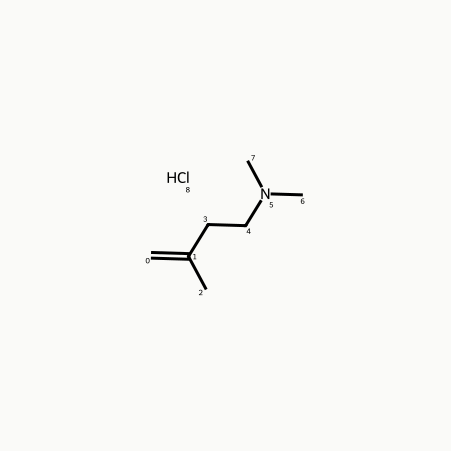 C=C(C)CCN(C)C.Cl